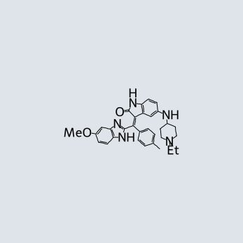 CCN1CCC(Nc2ccc3c(c2)/C(=C(\c2ccc(C)cc2)c2nc4cc(OC)ccc4[nH]2)C(=O)N3)CC1